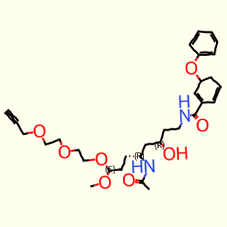 C#CCOCCOCCO[C@@H](CC[C@H](C[C@H](O)CCNC(=O)C1=CC(Oc2ccccc2)CC=C1)NC(C)=O)OC